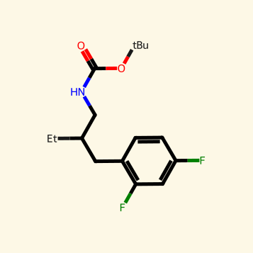 CCC(CNC(=O)OC(C)(C)C)Cc1ccc(F)cc1F